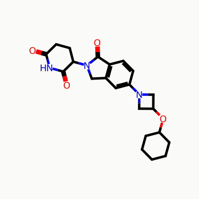 O=C1CCC(N2Cc3cc(N4CC(OC5CCCCC5)C4)ccc3C2=O)C(=O)N1